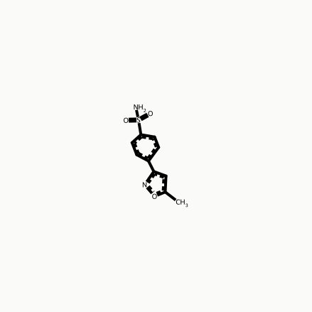 Cc1cc(-c2ccc(S(N)(=O)=O)cc2)no1